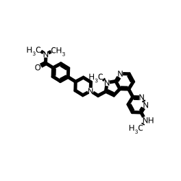 CNc1ccc(-c2ccnc3c2cc(CN2CCC(c4ccc(C(=O)N(C)C)cc4)CC2)n3C)nn1